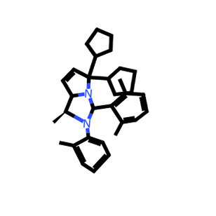 Cc1ccccc1N1C(c2c(C)cccc2C)N2C(C=CC2(C2CCCC2)C2CCCC2)[C@@H]1C